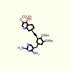 CCOC(=O)Oc1cnc2cc(C#Cc3cc(Cc4cnc(N)nc4N)cc(OC)c3OC)ccc2c1O